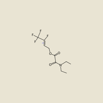 CCN(CC)C(=O)C(=O)OC/C=C(\F)C(F)(F)F